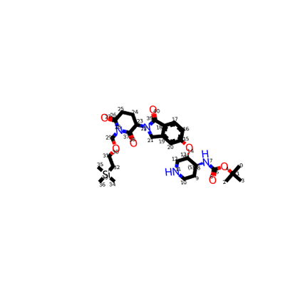 CC(C)(C)OC(=O)N[C@H]1CCNC[C@@H]1Oc1ccc2c(c1)CN(C1CCC(=O)N(COCC[Si](C)(C)C)C1=O)C2=O